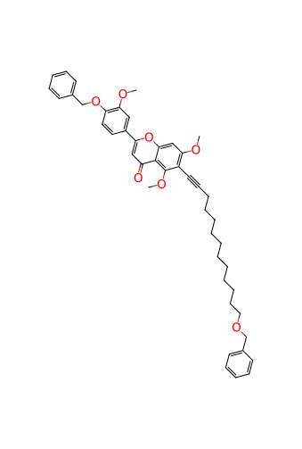 COc1cc(-c2cc(=O)c3c(OC)c(C#CCCCCCCCCCCCOCc4ccccc4)c(OC)cc3o2)ccc1OCc1ccccc1